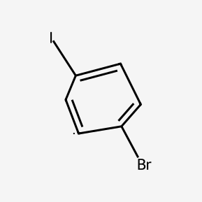 Brc1[c]cc(I)cc1